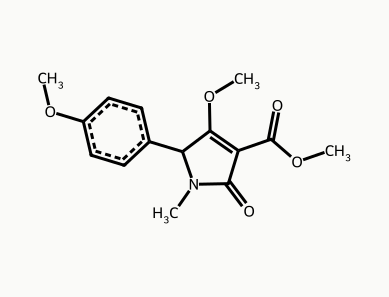 COC(=O)C1=C(OC)C(c2ccc(OC)cc2)N(C)C1=O